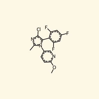 COc1ccc(-n2c(C)nc(Cl)c2-c2c(F)cc(F)cc2F)cn1